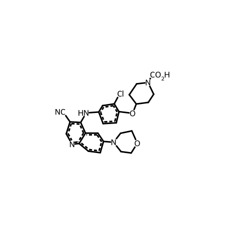 N#Cc1cnc2ccc(N3CCOCC3)cc2c1Nc1ccc(OC2CCN(C(=O)O)CC2)c(Cl)c1